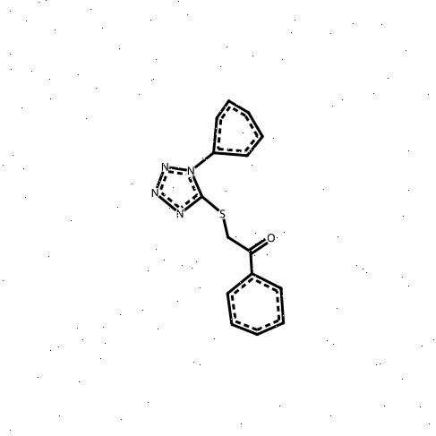 O=C(CSc1nnnn1-c1ccccc1)c1ccccc1